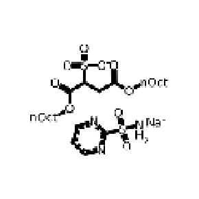 CCCCCCCCOC(=O)CC(C(=O)OCCCCCCCC)S(=O)(=O)[O-].NS(=O)(=O)c1ncccn1.[Na+]